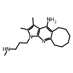 CNCCCn1c(C)c(C)c2c(N)c3c(nc21)CCCCCC3